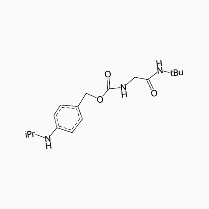 CC(C)Nc1ccc(COC(=O)NCC(=O)NC(C)(C)C)cc1